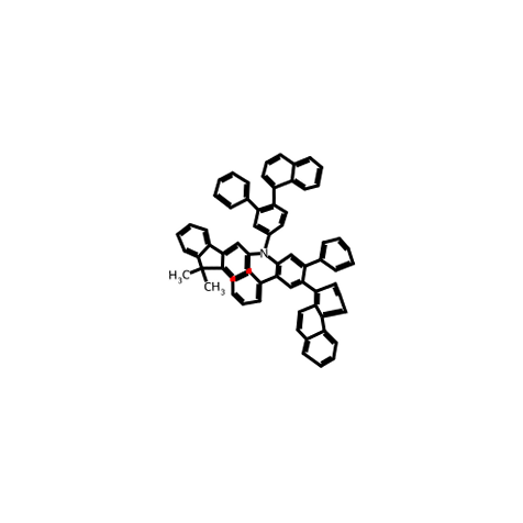 CC1(C)c2ccccc2-c2cc(N(c3ccc(-c4cccc5ccccc45)c(-c4ccccc4)c3)c3cc(-c4ccccc4)c(-c4cccc5c4ccc4ccccc45)cc3-c3ccccc3)ccc21